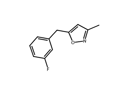 Cc1cc(Cc2cccc(F)c2)on1